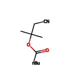 [CH2]CCCC(=O)OC(C)(C)CC#N